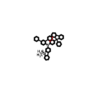 C[Si]1(C)c2ccccc2-c2ccc(N(c3ccc(C4(c5ccccc5)c5ccccc5-c5ccccc54)cc3)c3ccc(-c4ccccc4)cc3-c3ccccc3)cc21